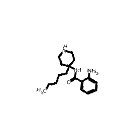 CCCCCC1(NC(=O)c2ccccc2N)CCNCC1